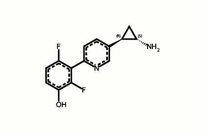 N[C@H]1C[C@@H]1c1ccc(-c2c(F)ccc(O)c2F)nc1